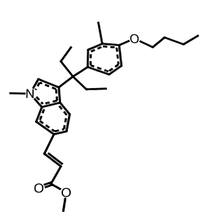 CCCCOc1ccc(C(CC)(CC)c2cn(C)c3cc(/C=C/C(=O)OC)ccc23)cc1C